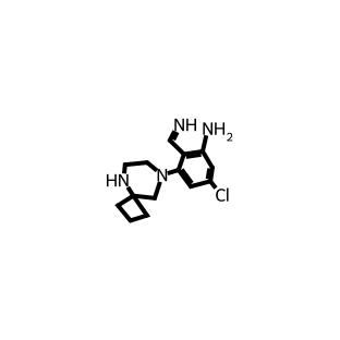 N=Cc1c(N)cc(Cl)cc1N1CCNC2(CCC2)C1